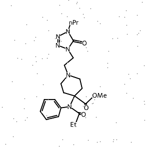 CCCn1nnn(CCN2CCC(C(=O)OC)(N(C(=O)CC)c3ccccc3)CC2)c1=O